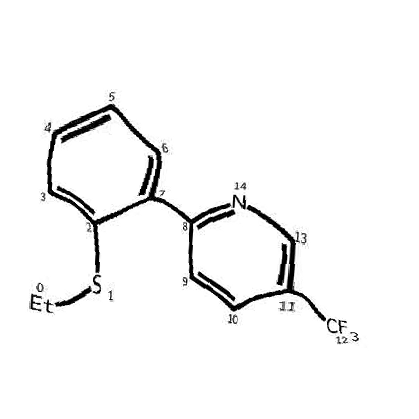 CCSc1ccccc1-c1ccc(C(F)(F)F)cn1